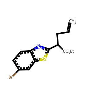 C=CCC(C(=O)OCC)c1nc2ccc(Br)cc2s1